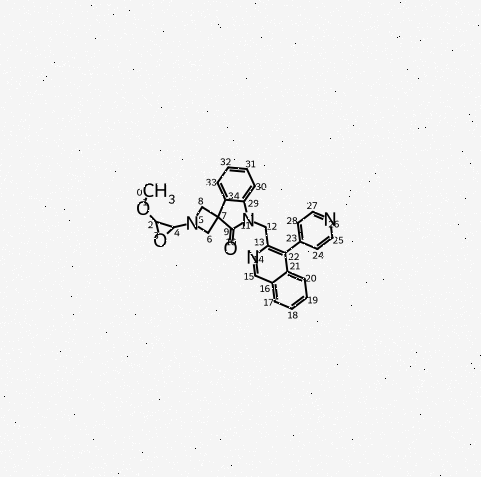 COC1OC1N1CC2(C1)C(=O)N(Cc1ncc3ccccc3c1-c1ccncc1)c1ccccc12